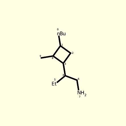 CCCCC1CC(C(CC)CN)C1C